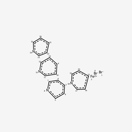 [Br-].[Br-].[Fe+2].c1ccncc1.c1ccncc1.c1ccncc1.c1ccncc1